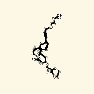 CCOCCOCC#Cc1ccc2c(c1)CCn1c-2cc(OCC2COCCO2)nc1=O